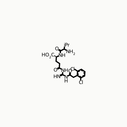 CC(C)C(N)C(=O)N[C@@H](CCC(=O)NC(=N)NC(=O)Cc1c(Cl)cccc1Cl)C(=O)O